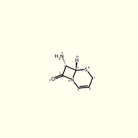 N[C@H]1C(=O)N2C=CCS[C@@H]12